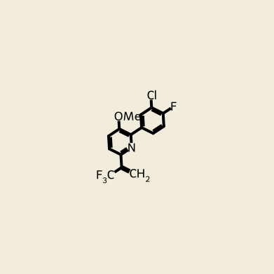 C=C(c1ccc(OC)c(-c2ccc(F)c(Cl)c2)n1)C(F)(F)F